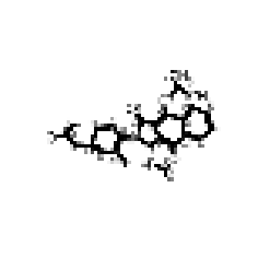 CC(C)Oc1c2c(c(OC(F)F)c3ccccc13)CN(c1ccc(CC(=O)O)cc1F)C2=O